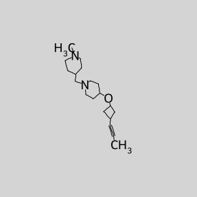 CC#CC1CC(OC2CCN(CC3CCN(C)CC3)CC2)C1